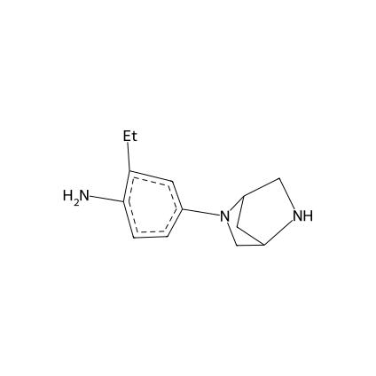 CCc1cc(N2CC3CC2CN3)ccc1N